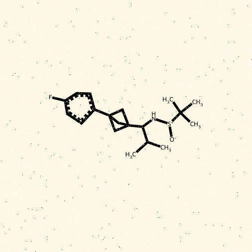 CC(C)C(N[S+]([O-])C(C)(C)C)C12CC(c3ccc(F)cc3)(C1)C2